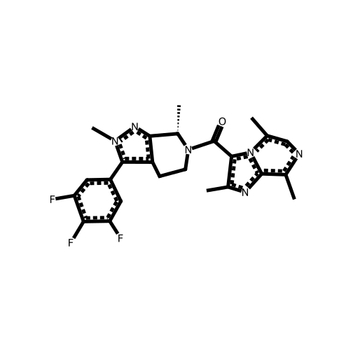 Cc1nc2c(C)ncc(C)n2c1C(=O)N1CCc2c(nn(C)c2-c2cc(F)c(F)c(F)c2)[C@@H]1C